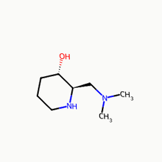 CN(C)C[C@H]1NCCC[C@@H]1O